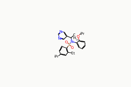 CCc1cc(C(C)C)ccc1S(=O)(=O)N(c1ccccc1OC(C)C)C(C)c1cncnc1